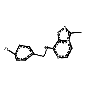 CCc1ccc(CNc2nccn3c(C)nnc23)cc1